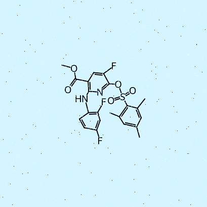 COC(=O)c1cc(F)c(OS(=O)(=O)c2c(C)cc(C)cc2C)nc1Nc1ccc(F)cc1F